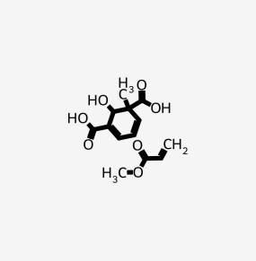 C=CC(=O)OC.CC1(C(=O)O)C=CC=C(C(=O)O)C1O